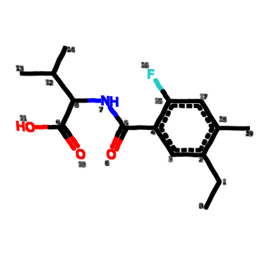 CCc1cc(C(=O)NC(C(=O)O)C(C)C)c(F)cc1C